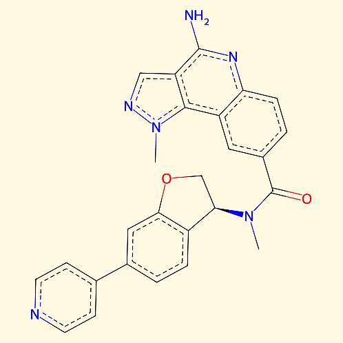 CN(C(=O)c1ccc2nc(N)c3cnn(C)c3c2c1)[C@@H]1COc2cc(-c3ccncc3)ccc21